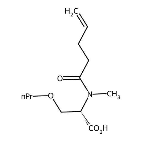 C=CCCC(=O)N(C)[C@@H](COCCC)C(=O)O